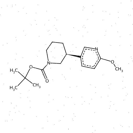 COc1ccc([C@@H]2CCCN(C(=O)OC(C)(C)C)C2)cn1